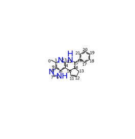 Cc1nc2c(c3[nH]cnc13)C1C=CCC1C(c1ccccc1)N2